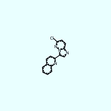 Clc1ccc2ncc(-c3ccc4ccccc4n3)n2n1